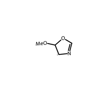 COC1[C]N=CO1